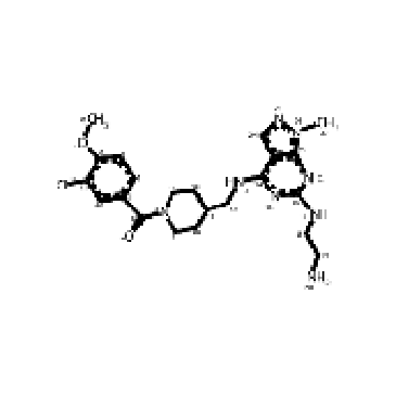 COc1ccc(C(=O)N2CCC(CNc3nc(NCCN)nc4c3cnn4C)CC2)cc1Cl